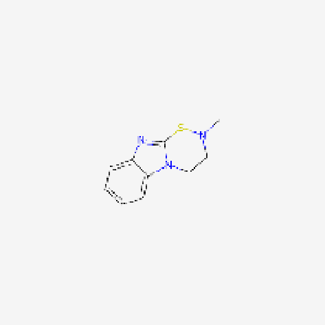 CN1CCn2c(nc3ccccc32)S1